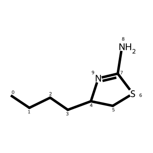 CCCCC1CSC(N)=N1